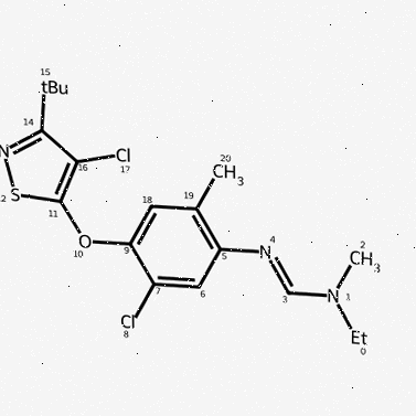 CCN(C)C=Nc1cc(Cl)c(Oc2snc(C(C)(C)C)c2Cl)cc1C